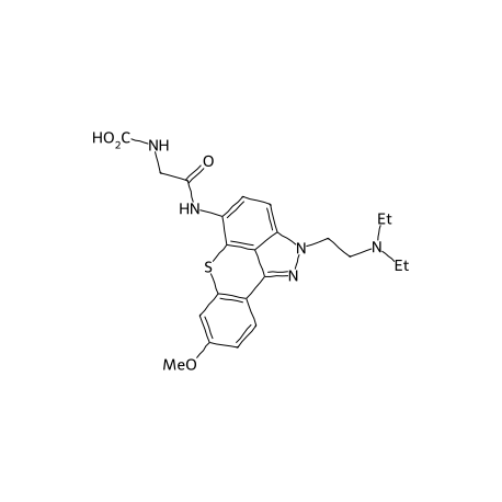 CCN(CC)CCn1nc2c3c(c(NC(=O)CNC(=O)O)ccc31)Sc1cc(OC)ccc1-2